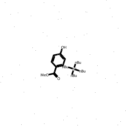 CCCC[N+](CCCC)(CCCC)CCCC.COC(=O)c1ccc(O)cc1